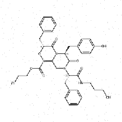 CC(C)CCOC(=O)N1O[C@H](Cc2ccccc2)C(=O)N2C1CN([C@@H](Cc1ccccc1)C(=O)NCCCO)C(=O)[C@@H]2Cc1ccc(O)cc1